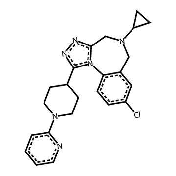 Clc1ccc2c(c1)CN(C1CC1)Cc1nnc(C3CCN(c4ccccn4)CC3)n1-2